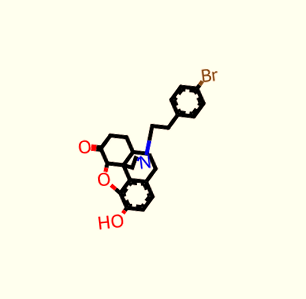 O=C1CCC2C3Cc4ccc(O)c5c4C2(CCN3CCc2ccc(Br)cc2)C1O5